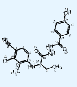 CC[C@@H](Nc1ccc(C#N)c(Cl)c1C)C(=O)NNC(=O)c1ccc(O)cc1